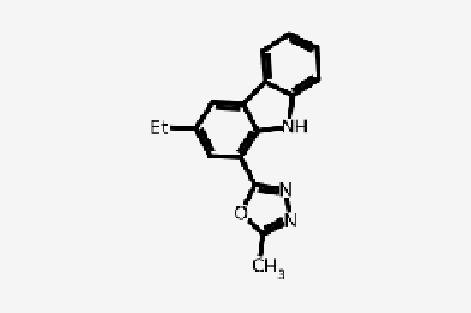 CCc1cc(-c2nnc(C)o2)c2[nH]c3ccccc3c2c1